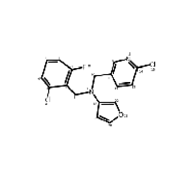 Fc1cccc(Cl)c1CN(Cc1ccc(Cl)nc1)c1ccoc1